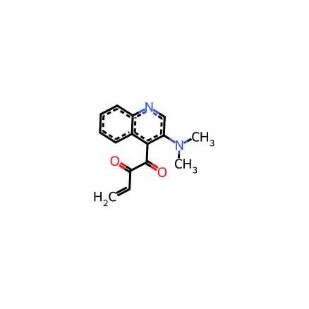 C=CC(=O)C(=O)c1c(N(C)C)cnc2ccccc12